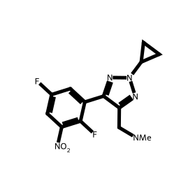 CNCc1nn(C2CC2)nc1-c1cc(F)cc([N+](=O)[O-])c1F